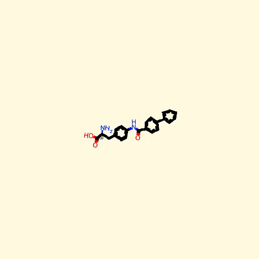 N[C@@H](Cc1ccc(NC(=O)c2ccc(-c3ccccc3)cc2)cc1)C(=O)O